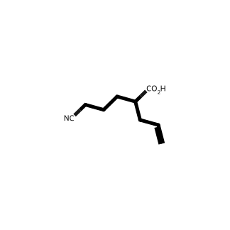 C=CCC(CCCC#N)C(=O)O